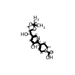 Cc1cc([C@H](O)[C@@H]2COC(C)(C)O2)cnc1C1=CCN(C(=O)O)CC1